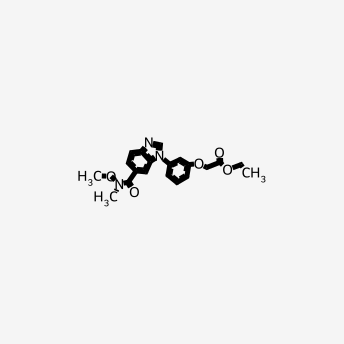 CCOC(=O)COc1cccc(-n2cnc3ccc(C(=O)N(C)OC)cc32)c1